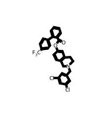 O=C(Oc1ccc2c(c1)CCN(Cc1cc(Cl)cc(Cl)c1)C2)c1ccccc1-c1ccc(C(F)(F)F)cc1